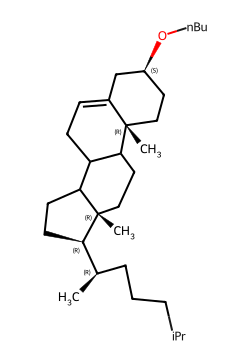 CCCCO[C@H]1CC[C@@]2(C)C(=CCC3C2CC[C@@]2(C)C3CC[C@@H]2[C@H](C)CCCC(C)C)C1